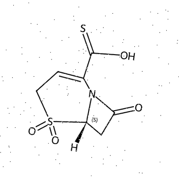 O=C1C[C@H]2N1C(C(O)=S)=CCS2(=O)=O